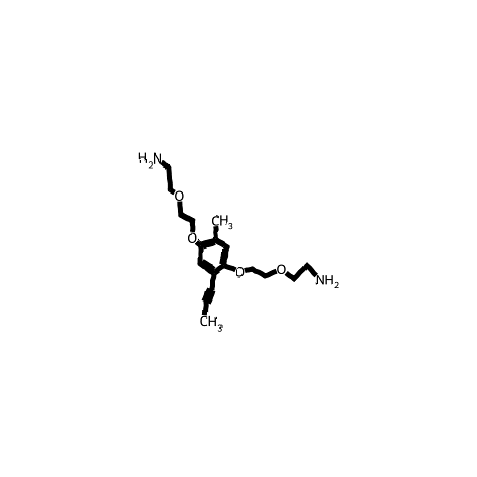 CC#Cc1cc(OCCOCCN)c(C)cc1OCCOCCN